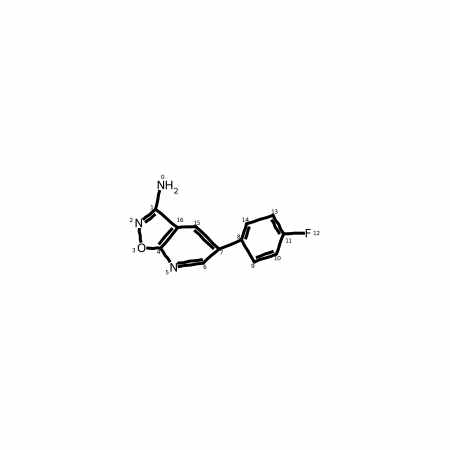 Nc1noc2ncc(-c3ccc(F)cc3)cc12